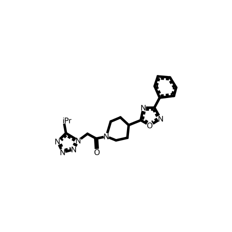 CC(C)c1nnnn1CC(=O)N1CCC(c2nc(-c3ccccc3)no2)CC1